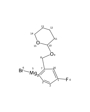 Fc1cc[c]([Mg][Br])c(COC2CCCCO2)c1